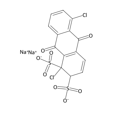 O=C1C2=C(C=CC(S(=O)(=O)[O-])C2(Cl)S(=O)(=O)[O-])C(=O)c2c(Cl)cccc21.[Na+].[Na+]